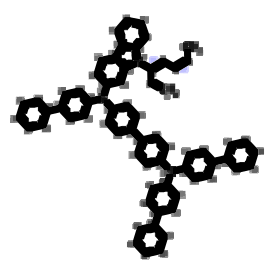 C=C/C(=C\C=C/C)n1c2ccccc2c2ccc(N(c3ccc(-c4ccccc4)cc3)c3ccc(-c4ccc(N(c5ccc(-c6ccccc6)cc5)c5ccc(-c6ccccc6)cc5)cc4)cc3)cc21